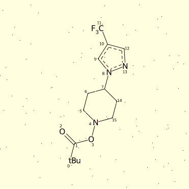 CC(C)(C)C(=O)ON1CCC(n2cc(C(F)(F)F)cn2)CC1